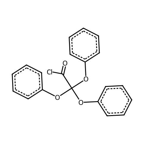 O=C(Cl)C(Oc1ccccc1)(Oc1ccccc1)Oc1ccccc1